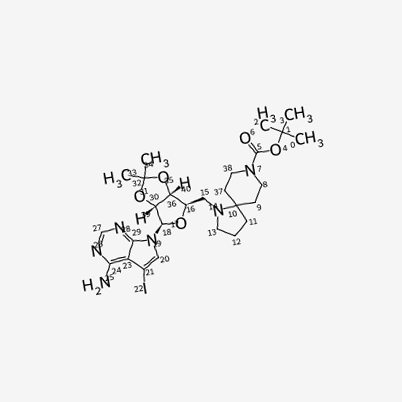 CC(C)(C)OC(=O)N1CCC2(CCCN2C[C@H]2O[C@@H](n3cc(I)c4c(N)ncnc43)[C@@H]3OC(C)(C)O[C@@H]32)CC1